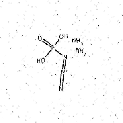 N.N.[N-]=[N+]=NP(=O)(O)O